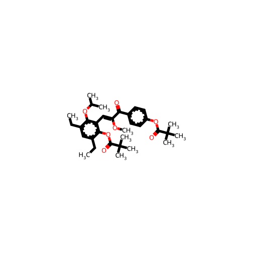 CCc1cc(CC)c(OC(C)C)c(C=C(OC)C(=O)c2ccc(OC(=O)C(C)(C)C)cc2)c1OC(=O)C(C)(C)C